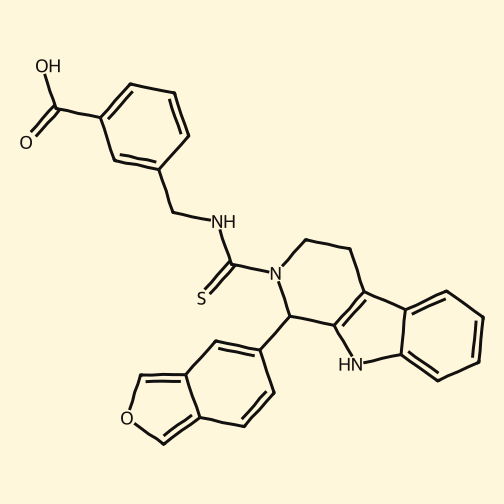 O=C(O)c1cccc(CNC(=S)N2CCc3c([nH]c4ccccc34)C2c2ccc3cocc3c2)c1